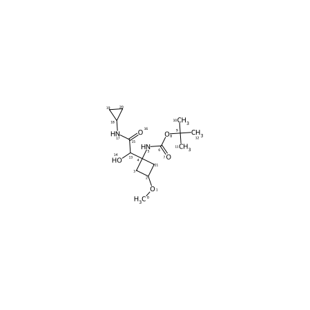 COC1CC(NC(=O)OC(C)(C)C)(C(O)C(=O)NC2CC2)C1